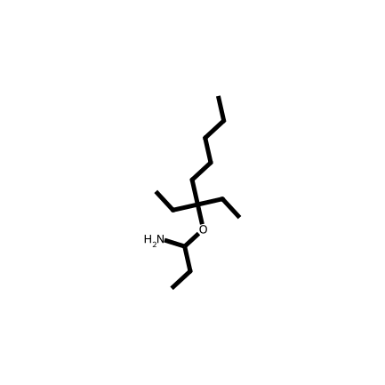 CCCCCC(CC)(CC)OC(N)CC